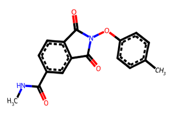 CNC(=O)c1ccc2c(c1)C(=O)N(Oc1ccc(C)cc1)C2=O